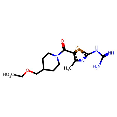 Cc1nc(NC(=N)N)sc1C(=O)N1CCC(COCC(=O)O)CC1